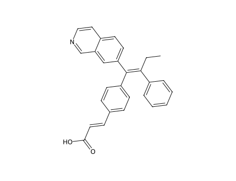 CC/C(=C(/c1ccc(/C=C/C(=O)O)cc1)c1ccc2ccncc2c1)c1ccccc1